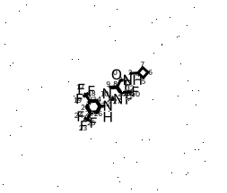 O=C(NCC1CCC1)c1cnc(Nc2cc(C(F)(F)F)cc(C(F)(F)F)c2)nc1C(F)(F)F